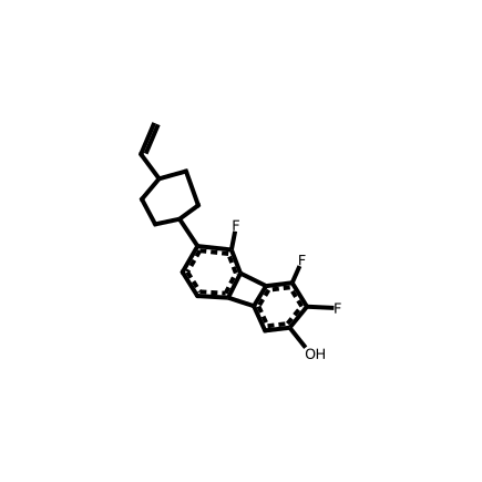 C=CC1CCC(c2ccc3c(c2F)-c2c-3cc(O)c(F)c2F)CC1